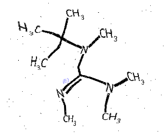 C/N=C(\N(C)C)N(C)C(C)(C)C